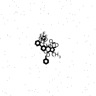 C[C@@H]1CC2(COCC(=O)N2)C(Cc2cccc(-c3ccccc3OS(=O)(=O)C(F)(F)F)c2F)C1C(=O)OCc1ccccc1